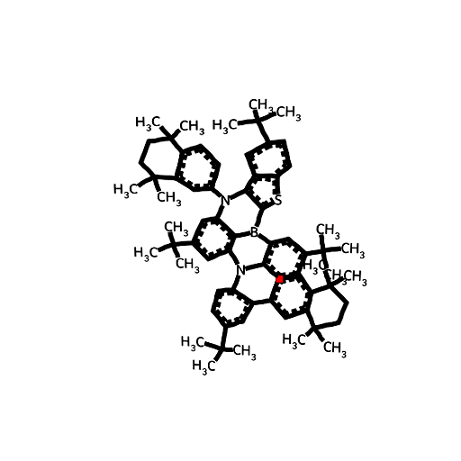 CC(C)(C)c1ccc2c(c1)B1c3sc4ccc(C(C)(C)C)cc4c3N(c3ccc4c(c3)C(C)(C)CCC4(C)C)c3cc(C(C)(C)C)cc(c31)N2c1ccc(C(C)(C)C)cc1-c1ccc2c(c1)C(C)(C)CCC2(C)C